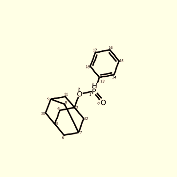 O=[PH](OC12CC3CC(CC(C3)C1)C2)c1ccccc1